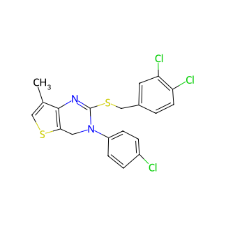 Cc1csc2c1N=C(SCc1ccc(Cl)c(Cl)c1)N(c1ccc(Cl)cc1)C2